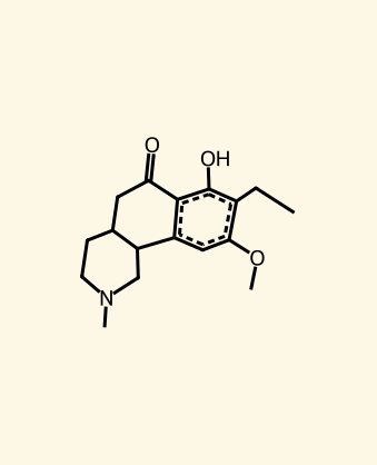 CCc1c(OC)cc2c(c1O)C(=O)CC1CCN(C)CC21